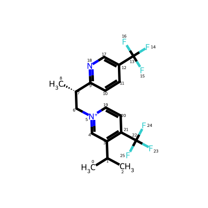 CC(C)c1c[n+](C[C@H](C)c2ccc(C(F)(F)F)cn2)ccc1C(F)(F)F